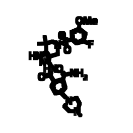 COc1cc(F)cc(S(=O)(=O)N2Cc3c(NC(=O)c4ccc(N5CCN(C)CC5)cc4C(N)=O)n[nH]c3C(C)(C)C2)c1